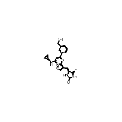 O=C1NC(=O)C(=Cc2cnn3c(NC4CC4)cc(-c4cccc(CO)c4)nc23)N1